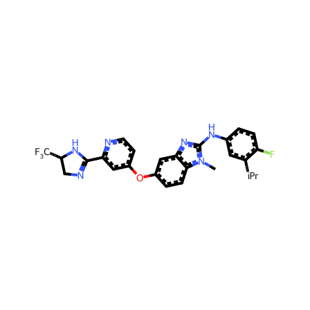 CC(C)c1cc(Nc2nc3cc(Oc4ccnc(C5=NCC(C(F)(F)F)N5)c4)ccc3n2C)ccc1F